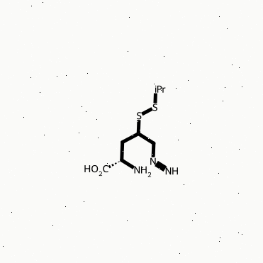 CC(C)SSC(CN=N)C[C@H](N)C(=O)O